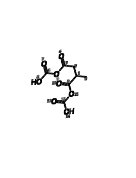 CC(CC(=O)OC(=O)O)C(=O)OC(=O)O